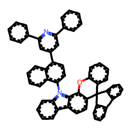 c1ccc(-c2cc(-c3ccc(-n4c5ccccc5c5ccc6c(c54)Oc4ccccc4C64c5ccccc5-c5ccccc54)c4ccccc34)cc(-c3ccccc3)n2)cc1